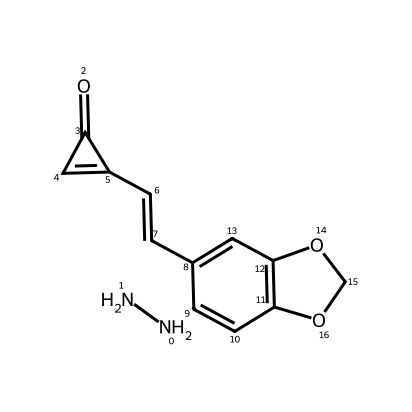 NN.O=c1cc1C=Cc1ccc2c(c1)OCO2